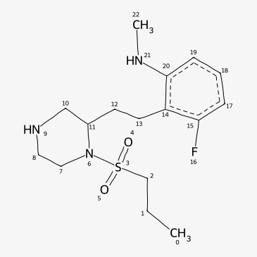 CCCS(=O)(=O)N1CCNCC1CCc1c(F)cccc1NC